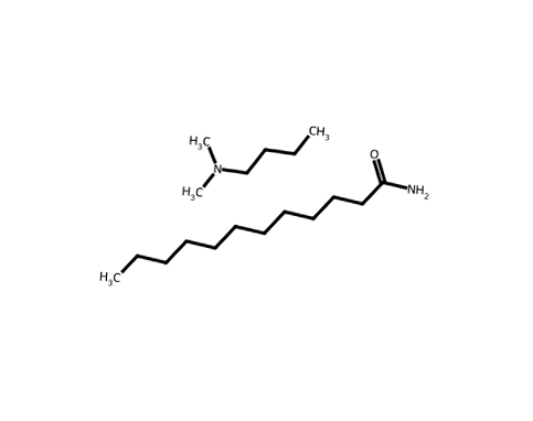 CCCCCCCCCCCC(N)=O.CCCCN(C)C